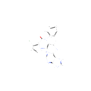 CC(Nc1ncnc2[nH]cnc12)c1cn2ccc(Cl)c2c(=O)n1-c1ccc(F)cc1